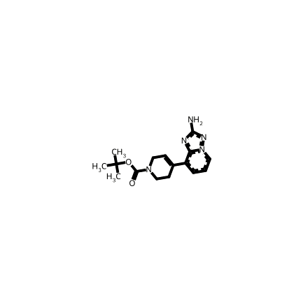 CC(C)(C)OC(=O)N1CC=C(c2cccn3nc(N)nc23)CC1